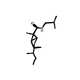 CCC(C)C1(C)C2C1C2(C)C(=O)NCC(C)C